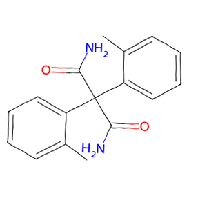 Cc1ccccc1C(C(N)=O)(C(N)=O)c1ccccc1C